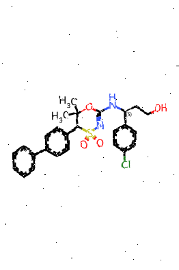 CC1(C)OC(N[C@@H](CCO)c2ccc(Cl)cc2)=NS(=O)(=O)C1c1ccc(-c2ccccc2)cc1